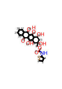 O=C(Nc1cccs1)OC[C@]1(O)Cc2c(O)c3c(c(O)c2[C@@H](O)C1)C(=O)c1ccccc1C3=O